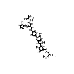 C[C@H](N)CCCc1cc(Cl)c(F)c(-c2cc3cn(-c4ccc(CC[C@H](CCNC(=N)N)CNc5ncc[nH]5)cc4)c(=O)nc3[nH]2)c1